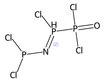 O=P(Cl)(Cl)/[PH](Cl)=N/P(Cl)Cl